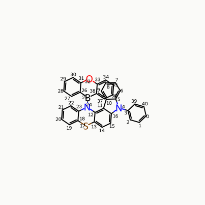 c1ccc(-n2c3ccccc3c3c4c(ccc32)Sc2ccccc2N4B2c3ccccc3Oc3ccccc32)cc1